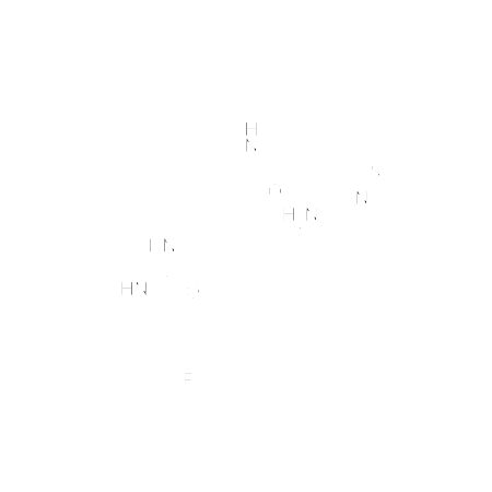 Nc1nsc2cccc(C(=O)Nc3cccc(CNC(=O)Nc4cccc(F)c4)c3)c12